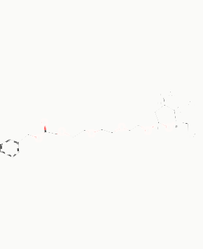 CC(=O)OC[C@H]1O[C@@H](OCCOCCOCCOCC(=O)OCc2ccccc2)C[C@@H](OC(C)=O)[C@H]1OC(C)=O